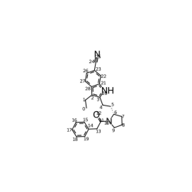 CCc1c(CC[C@@H]2CCCN2C(=O)Cc2ccccc2)[nH]c2cc(C#N)ccc12